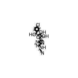 N#CCNc1ncnc2c1ncn2[C@H]1O[C@H](C(O)c2ccc(Cl)cc2)[C@@H](O)[C@H]1O